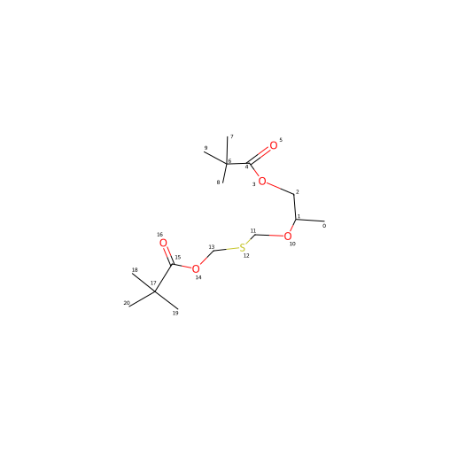 CC(COC(=O)C(C)(C)C)OCSCOC(=O)C(C)(C)C